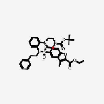 CCOC(=O)c1oc2ccc(S(=O)(=O)N(CCc3ccccc3)c3ccccc3N3CCN(C(=O)OC(C)(C)C)CC3)cc2c1C